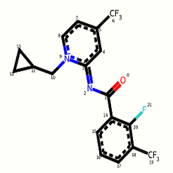 O=C(/N=c1\cc(C(F)(F)F)ccn1CC1CC1)c1cccc(C(F)(F)F)c1F